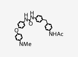 CNc1ccc(Oc2ccc(NC(=O)Nc3ccc(Cc4ccc(NC(C)=O)cc4)cc3)cc2)cc1